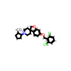 CCOC(=O)C1CCCC1N1CCC2(CC1)COc1cc(OCc3c(Cl)cccc3Cl)ccc12